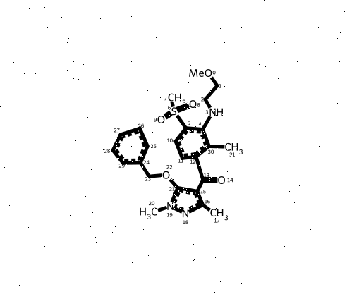 COCCNc1c(S(C)(=O)=O)ccc(C(=O)c2c(C)nn(C)c2OCc2ccccc2)c1C